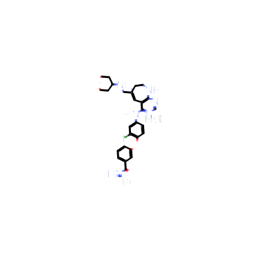 CC(C)(C)NC(=O)c1cccc(Oc2ccc(Nc3ncnc4c3C=C(CNC3CCOCC3)CCN4)cc2Cl)c1.Cl.Cl